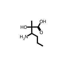 CCCC(N)C(C)(O)C(=O)O